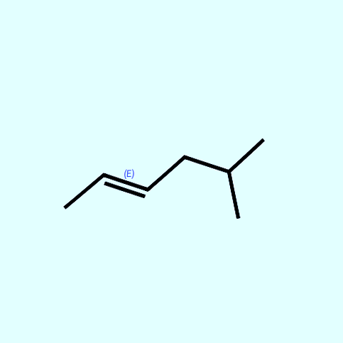 C/C=C/CC(C)C